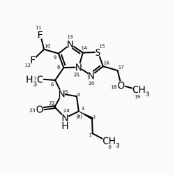 CCC[C@@H]1CN(C(C)c2c(C(F)F)nc3sc(COC)nn23)C(=O)N1